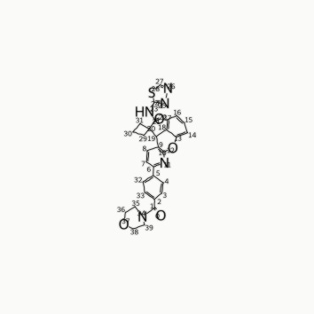 O=C(c1ccc(-c2ccc3c(n2)Oc2ccccc2C3C2(C(=O)Nc3nncs3)CCC2)cc1)N1CCOCC1